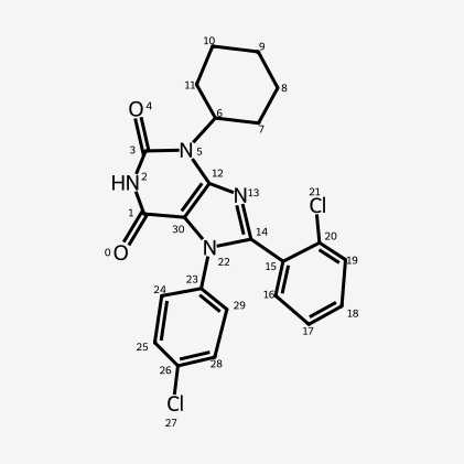 O=c1[nH]c(=O)n(C2CCCCC2)c2nc(-c3ccccc3Cl)n(-c3ccc(Cl)cc3)c12